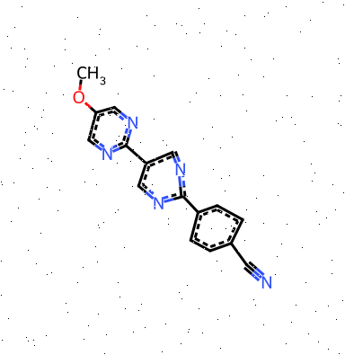 COc1cnc(-c2cnc(-c3ccc(C#N)cc3)nc2)nc1